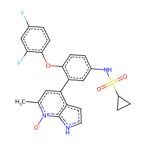 Cc1cc(-c2cc(NS(=O)(=O)C3CC3)ccc2Oc2ccc(F)cc2F)c2cc[nH]c2[n+]1[O-]